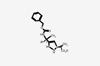 CC(C)[C@](C)(NC(=O)OCc1ccccc1)C1=CN([C@@H](C)C(=O)O)NN1